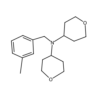 Cc1cccc(CN(C2CCOCC2)C2CCOCC2)c1